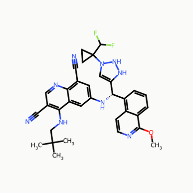 COc1nccc2c([C@H](Nc3cc(C#N)c4ncc(C#N)c(NCC(C)(C)C)c4c3)C3=CN(C4(C(F)F)CC4)NN3)cccc12